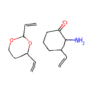 C=CC1CCCC(=O)C1N.C=CC1CCOC(C=C)O1